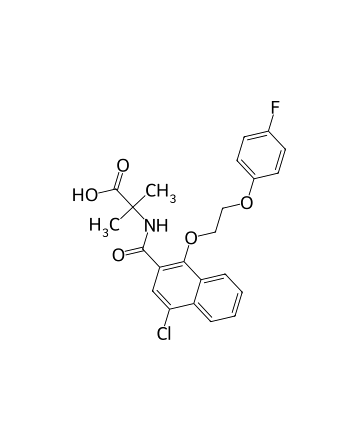 CC(C)(NC(=O)c1cc(Cl)c2ccccc2c1OCCOc1ccc(F)cc1)C(=O)O